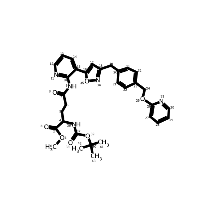 COC(=O)C(CCC(=O)Nc1ncccc1-c1cc(Cc2ccc(COc3ccccn3)cc2)no1)NC(=O)OC(C)(C)C